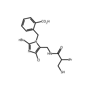 CCCCc1nc(Cl)c(CNC(=O)C(CS)C(C)C)n1Cc1ccccc1C(=O)O